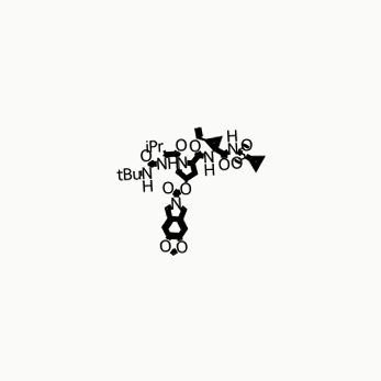 C=C[C@H]1C[C@@]1(NC(=O)C1C[C@@H](OC(=O)N2Cc3cc4c(cc3C2)OCO4)CN1C(=O)[C@@H](NC(=O)NC(C)(C)C)C(C)C)C(=O)NS(=O)(=O)C1CC1